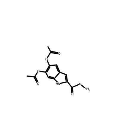 CC(=O)Oc1cc2cc(C(=O)ON)[nH]c2cc1OC(C)=O